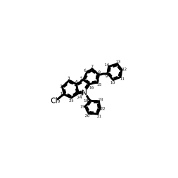 Clc1ccc2c3ccc(-c4ccccc4)cc3n(-c3ccccc3)c2c1